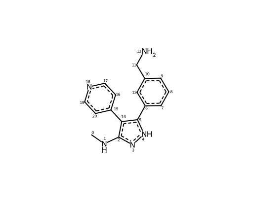 CNc1n[nH]c(-c2cccc(CN)c2)c1-c1ccncc1